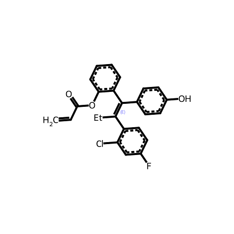 C=CC(=O)Oc1ccccc1/C(=C(\CC)c1ccc(F)cc1Cl)c1ccc(O)cc1